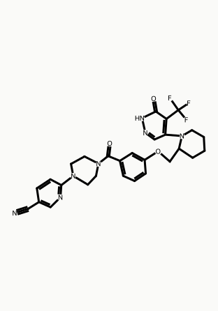 N#Cc1ccc(N2CCN(C(=O)c3cccc(OCC4CCCCN4c4cn[nH]c(=O)c4C(F)(F)F)c3)CC2)nc1